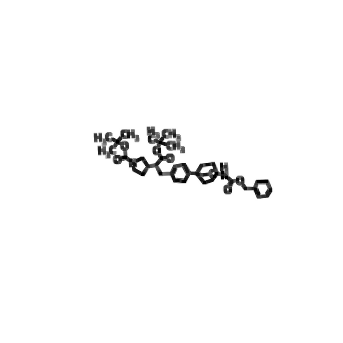 CC(C)(C)OC(=O)[C@@H](Cc1ccc(C23CCC(NC(=O)OCc4ccccc4)(CC2)CC3)cc1)[C@H]1CCN(C(=O)OC(C)(C)C)C1